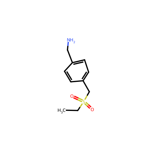 CCS(=O)(=O)Cc1ccc(CN)cc1